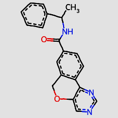 CC(NC(=O)c1ccc2c(c1)COc1cncnc1-2)c1ccccc1